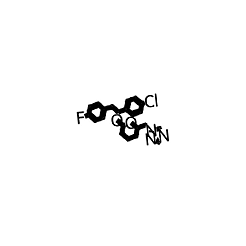 Fc1ccc(CC(OC2CCCC(Cn3cncn3)O2)c2ccc(Cl)cc2)cc1